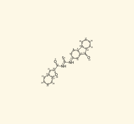 O=C(NC(=S)Nc1ccc2c(c1)C(=O)c1ccccc1-2)c1cc2ccccc2o1